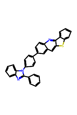 c1ccc(-c2nc3ccccc3n2-c2ccc(-c3ccc4nc5c(cc4c3)sc3ccccc35)cc2)cc1